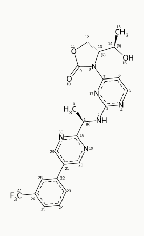 C[C@@H](Nc1nccc(N2C(=O)OC[C@@H]2[C@@H](C)O)n1)c1ncc(-c2cccc(C(F)(F)F)c2)cn1